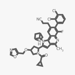 Cc1nc2c(F)c(-c3cccc(Cl)c3Cl)c(CCC#N)cc2c2c1cc(C1CC(OCc3cnco3)CN1C(=O)C1CC1)n2C1C2CNC1C2